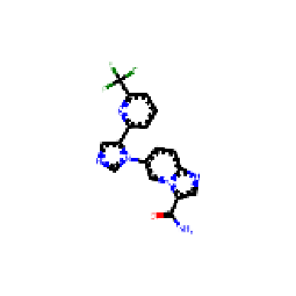 NC(=O)c1cnc2ccc(-n3cncc3-c3cccc(C(F)(F)F)n3)cn12